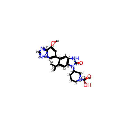 COc1cc(-c2cc3[nH]c(=O)n(C4CCCN(C(=O)O)C4)c3cc2C(C)C)cn2ncnc12